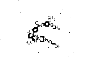 COc1ccc(CNC(=O)c2ccc(-n3c(=O)ccc4c(C)nc(N5CCN(CCOCCO)CC5)nc43)cc2)cc1OC